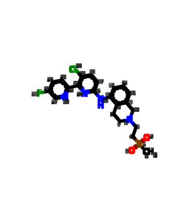 CS(=O)(=O)CCN1CCc2c(cccc2Nc2ccc(Cl)c(-c3ccc(F)cn3)n2)C1